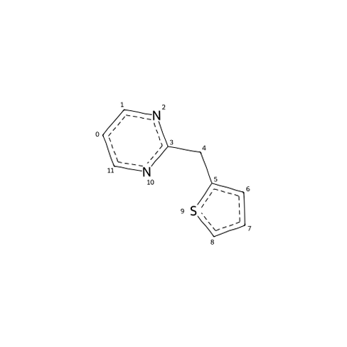 c1cnc(Cc2cccs2)nc1